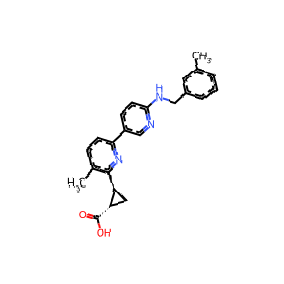 Cc1cccc(CNc2ccc(-c3ccc(C)c([C@H]4C[C@@H]4C(=O)O)n3)cn2)c1